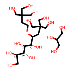 OCC(O)CO.OC[C@@H](O)[C@@H](O)[C@H](O)[C@@H](O)C(CC(CO)(CO)CO)OCCC(CO)(CO)CO